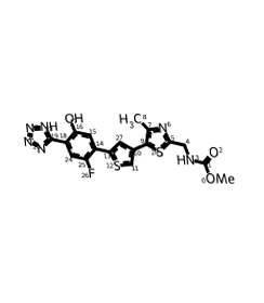 COC(=O)NCc1nc(C)c(-c2csc(-c3cc(O)c(-c4nnn[nH]4)cc3F)c2)s1